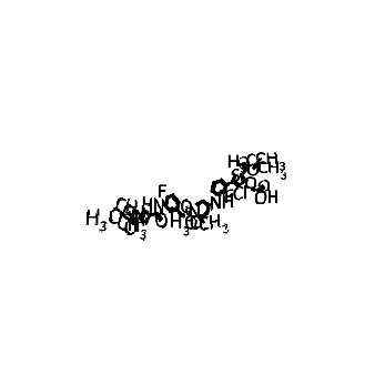 CC(C)(C)OC(=O)c1sc(-c2cccc(N[C@@H]3CCN(S(=O)(=O)Cc4ccc(F)c(NC(=O)C5CN(C(=O)OC(C)(C)C)C5)c4)C(C)(C)C3)c2F)c(Cl)c1OCC(=O)O